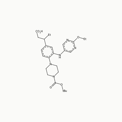 CCOc1ncc(Nc2cc(C(CC)CC(=O)O)ccc2N2CCN(C(=O)OC(C)(C)C)CC2)cn1